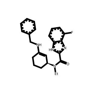 CCN(C(=O)c1nc2c(F)cccc2[nH]1)[C@@H]1C=C(NCc2ccccc2)CCC1